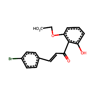 O=C(O)COc1cccc(O)c1C(=O)C=Cc1ccc(Br)cc1